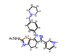 CC(=O)Nc1nc2c(s1)-c1c(c(-c3cccnc3)nn1-c1ccc(CN3CCCCC3)cc1)CC2